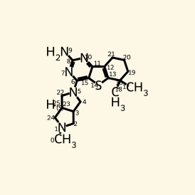 CN1CC2CN(c3nc(N)nc4c5c(sc34)C(C)(C)CCC5)C[C@@H]2C1